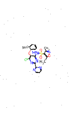 COc1ccccc1Oc1c(Cl)nc(-c2ncccn2)nc1NS(=O)(=O)c1c(C)noc1C